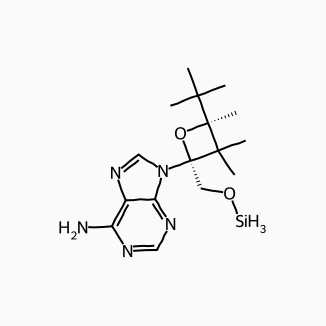 CC(C)(C)[C@]1(C)O[C@](CO[SiH3])(n2cnc3c(N)ncnc32)C1(C)C